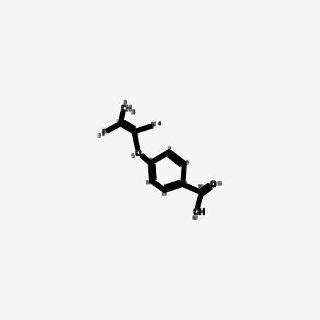 C/C(F)=C(\F)Oc1ccc(C(=O)O)cc1